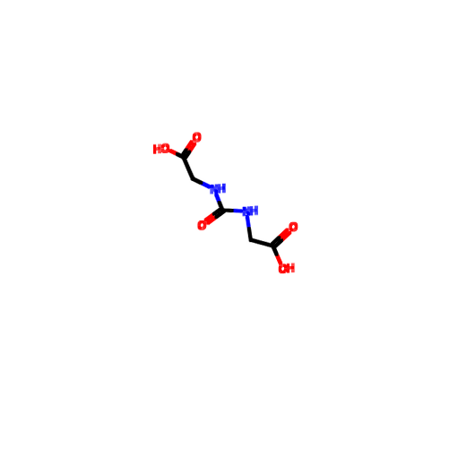 O=C(O)CNC(=O)NCC(=O)O